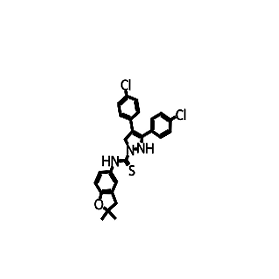 CC1(C)Cc2cc(NC(=S)N3CC(c4ccc(Cl)cc4)=C(c4ccc(Cl)cc4)N3)ccc2O1